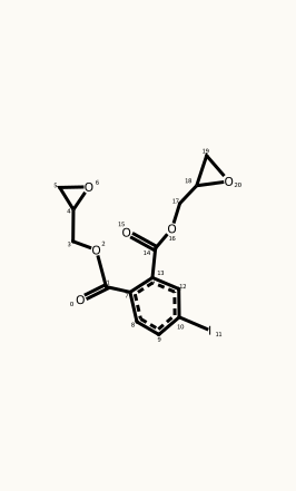 O=C(OCC1CO1)c1ccc(I)cc1C(=O)OCC1CO1